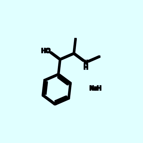 CNC(C)C(O)c1ccccc1.[NaH]